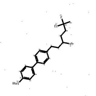 CCCC(CCc1ccc(-c2ccc(SC)cc2)cc1)CCC(C)(F)CC